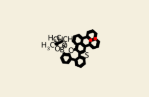 CC1(C)OB(c2cccc3c2oc2c4cccc(-c5ccccc5)c4c(-c4ccccc4)c4sc5cccc3c5c42)OC1(C)C